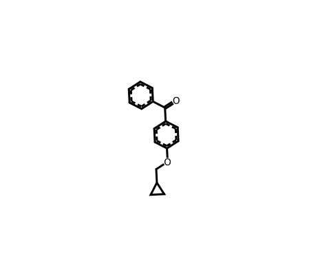 O=C(c1ccccc1)c1ccc(OCC2CC2)cc1